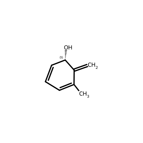 C=C1C(C)=CC=C[C@@H]1O